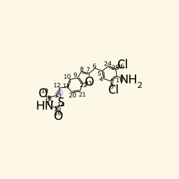 Nc1c(Cl)cc(Cc2cc3cc(/C=C4\SC(=O)NC4=O)ccc3o2)cc1Cl